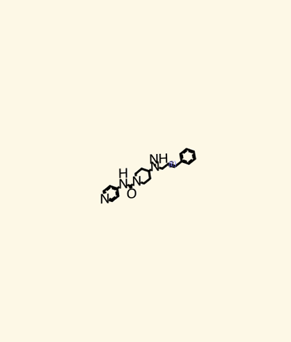 NN(C/C=C/c1ccccc1)C1CCN(C(=O)Nc2ccncc2)CC1